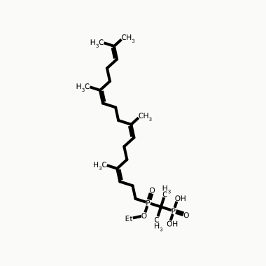 CCOP(=O)(CCC=C(C)CCC=C(C)CCC=C(C)CCC=C(C)C)C(C)(C)P(=O)(O)O